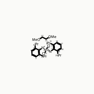 CC(C)c1cccc(C(C)C)c1[N]=[Mo]([Cl])([Cl])=[N]c1c(C(C)C)cccc1C(C)C.COCCOC